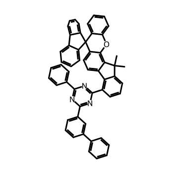 CC1(C)c2cccc(-c3nc(-c4ccccc4)nc(-c4cccc(-c5ccccc5)c4)n3)c2-c2ccc3c(c21)Oc1ccccc1C31c2ccccc2-c2ccccc21